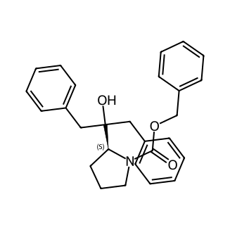 O=C(OCc1ccccc1)N1CCC[C@H]1C(O)(Cc1ccccc1)Cc1ccccc1